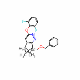 CC1(C)[C@H]2CC[C@]1(COCc1ccccc1)c1nnc(Oc3c(F)cccc3F)cc12